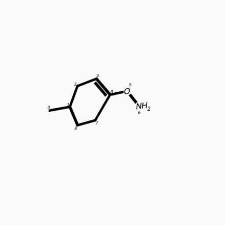 CC1CC=C(ON)CC1